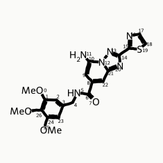 COc1cc(CNC(=O)c2cc(N)n3nc(-c4nccs4)nc3c2)cc(OC)c1OC